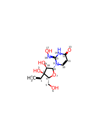 C=C[C@@]1(O)[C@@H](CO)O[C@@H](n2ccc(=O)[nH]/c2=N\O)[C@@H]1O